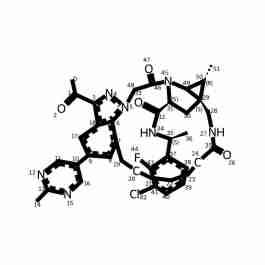 CC(=O)c1nn2c3c(cc(-c4cnc(C)nc4)cc13)CCCCCCC(=O)NC[C@@]13C[C@@H](C(=O)N[C@@H](C)c4cccc(Cl)c4F)N(C(=O)C2)C1[C@@H]3C